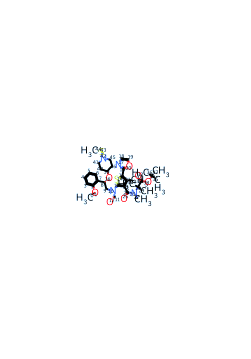 COc1ccccc1C(CN(C=O)c1sc(-c2ncco2)c(C)c1C(=O)N(C)C(C)(C)C(=O)OC(C)(C)C)OC1CCN(SC)CC1